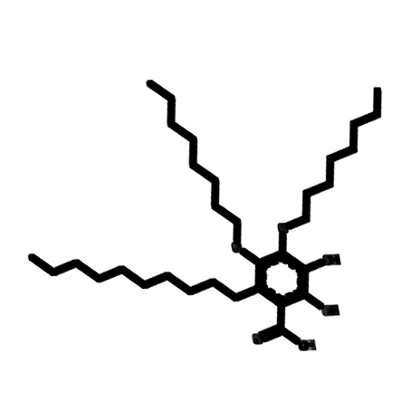 CCCCCCCCCCc1c(OCCCCCCCC)c(OCCCCCCCC)c(O)c(O)c1C(=O)O